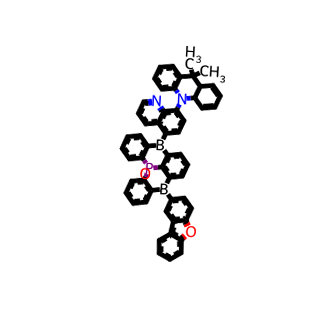 CC1(C)c2ccccc2N(c2ccc(B3c4ccccc4P4(=O)c5ccccc5B(c5ccc6oc7ccccc7c6c5)c5cccc3c54)c3cccnc23)C2C=CC=CC21